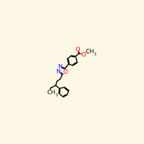 CCC(CCc1nnc(-c2ccc(C(=O)OC)cc2)o1)c1ccccc1